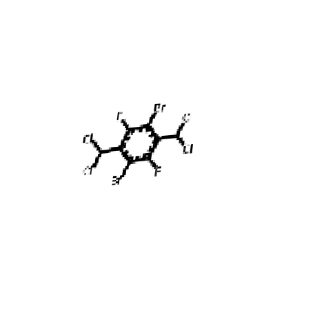 Fc1c(Br)c(C(Cl)Cl)c(F)c(Br)c1C(Cl)Cl